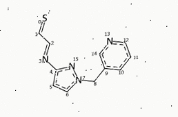 S=CC=Nc1ccn(Cc2cccnc2)n1